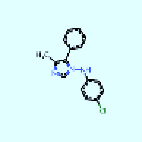 Cc1ncn(Nc2ccc(Cl)cc2)c1-c1ccccc1